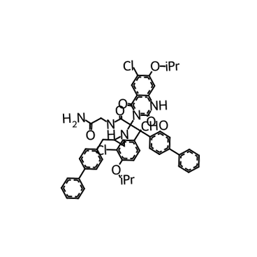 CC(C)Oc1ccc(C(C=O)(c2ccc(-c3ccccc3)cc2)C(C(=O)NCC(N)=O)(N2CC2Cc2ccc(-c3ccccc3)cc2)n2c(=O)[nH]c3cc(OC(C)C)c(Cl)cc3c2=O)cc1Cl